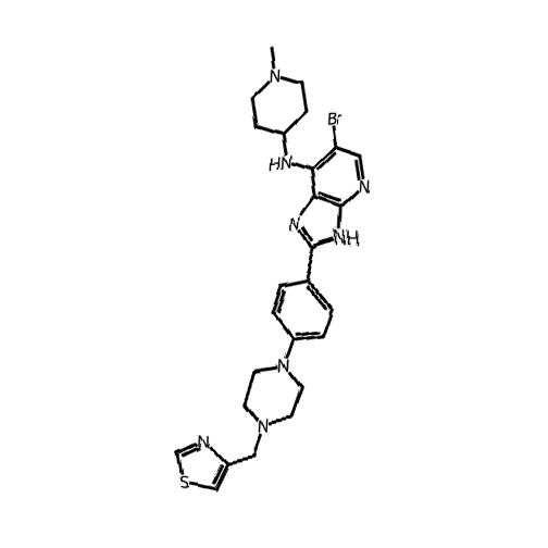 CN1CCC(Nc2c(Br)cnc3[nH]c(-c4ccc(N5CCN(Cc6cscn6)CC5)cc4)nc23)CC1